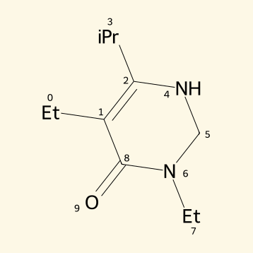 CCC1=C(C(C)C)NCN(CC)C1=O